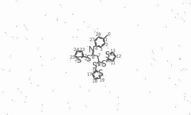 Cc1ccc(N=C(CC(Sc2cccs2)Sc2cccs2)Sc2cccs2)cc1